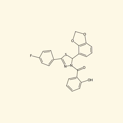 O=C(c1ccccc1O)N1N=C(c2ccc(F)cc2)SC1c1cccc2c1OCO2